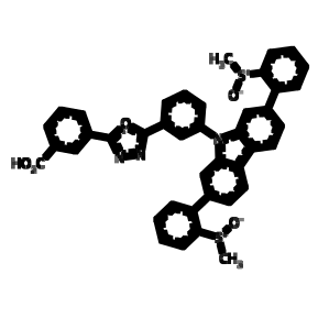 C[S+]([O-])c1ccccc1-c1ccc2c3ccc(-c4ccccc4[S+](C)[O-])cc3n(-c3cccc(-c4nnc(-c5cccc(C(=O)O)c5)o4)c3)c2c1